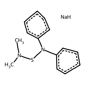 CN(C)SN(c1ccccc1)c1ccccc1.[NaH]